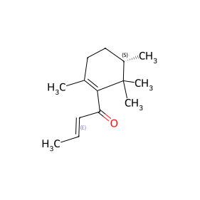 C/C=C/C(=O)C1=C(C)CC[C@H](C)C1(C)C